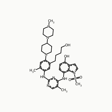 Cc1cc(N2CCC(N3CCN(C)CC3)CC2)c(CCCCO)cc1Nc1ncc(C)c(Nc2ccc(O)c3ccn(S(C)(=O)=O)c23)n1